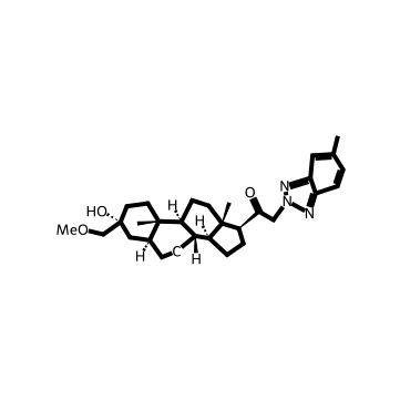 COC[C@@]1(O)CC[C@@]2(C)[C@@H](CC[C@@H]3[C@@H]2CC[C@]2(C)[C@@H](C(=O)Cn4nc5ccc(C)cc5n4)CC[C@@H]32)C1